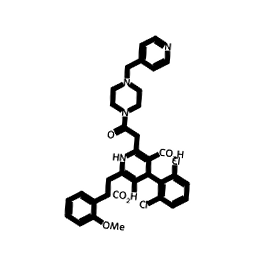 COc1ccccc1CCC1=C(C(=O)O)C(c2c(Cl)cccc2Cl)C(C(=O)O)=C(CC(=O)N2CCN(Cc3ccncc3)CC2)N1